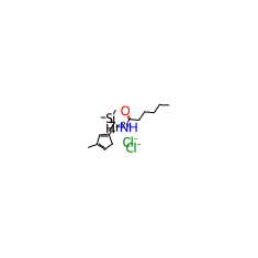 CCCCCC(=O)[NH][Zr+2]([C]1=CC(C)=CC1)[SiH](C)C.[Cl-].[Cl-]